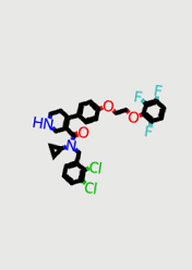 O=C(C1=C(c2ccc(OCCOc3c(F)ccc(F)c3F)cc2)CCNC1)N(Cc1cccc(Cl)c1Cl)C1CC1